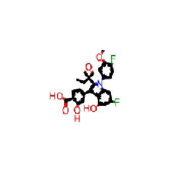 CCC1(c2c(-c3ccc(C(=O)O)c(O)c3)c3c(O)cc(F)cc3n2-c2ccc(F)c(OC)c2)COC1